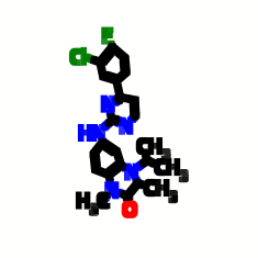 CC(C)N1c2cc(Nc3nccc(-c4ccc(F)c(Cl)c4)n3)ccc2N(C)C(=O)C1C